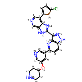 Clc1ccc(-c2cncc3[nH]c(-c4n[nH]c5ccc(-c6cncc(OC7CCNCC7)c6)nc45)nc23)s1